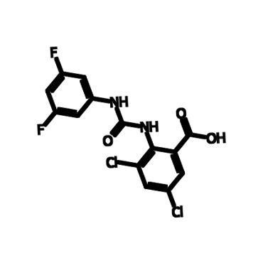 O=C(Nc1cc(F)cc(F)c1)Nc1c(Cl)cc(Cl)cc1C(=O)O